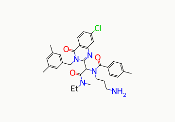 CCN(C)C(=O)C(c1nc2cc(Cl)ccc2c(=O)n1Cc1cc(C)cc(C)c1)N(CCCN)C(=O)c1ccc(C)cc1